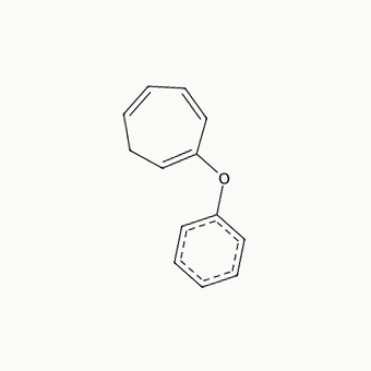 C1=CCC=C(Oc2ccccc2)C=C1